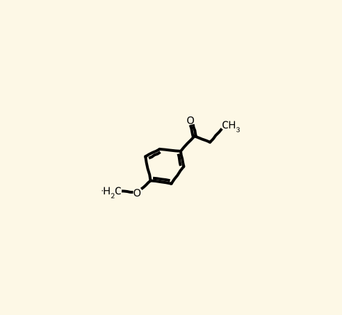 [CH2]Oc1ccc(C(=O)CC)cc1